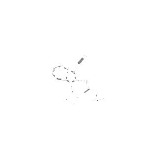 CC(C)(C)CC(=O)Nc1c(C#N)c2ccccc2n1C1CCC1